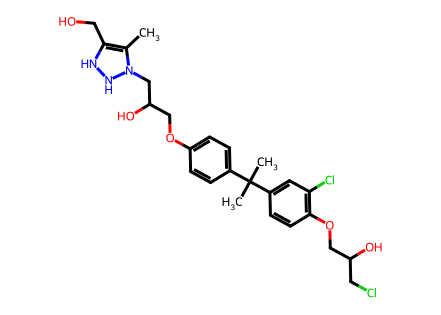 CC1=C(CO)NNN1CC(O)COc1ccc(C(C)(C)c2ccc(OCC(O)CCl)c(Cl)c2)cc1